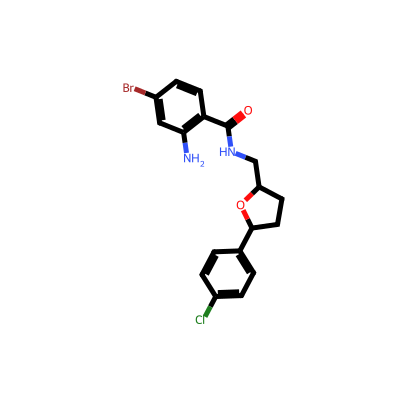 Nc1cc(Br)ccc1C(=O)NCC1CCC(c2ccc(Cl)cc2)O1